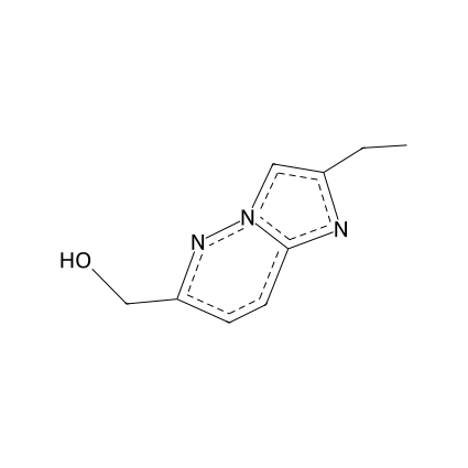 CCc1cn2nc(CO)ccc2n1